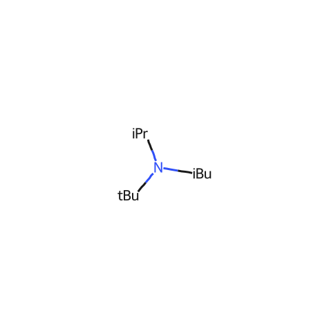 CCC(C)N(C(C)C)C(C)(C)C